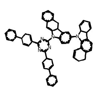 C1=CC2c3ccc4c(c3N(c3ccc5c(c3)C3Cc6ccccc6C=C3N5c3nc(C5=CCC(c6ccccc6)C=C5)nc(C5C=CC(c6ccccc6)=CC5)n3)C2C=C1)C=CCC4